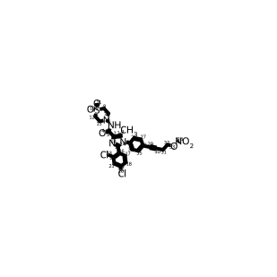 Cc1c(C(=O)NN2CCS(=O)(=O)CC2)nc(-c2ccc(Cl)cc2Cl)n1-c1ccc(C#CCCO[N+](=O)[O-])cc1